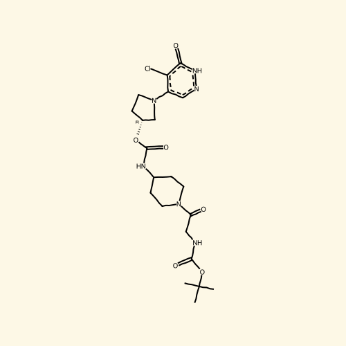 CC(C)(C)OC(=O)NCC(=O)N1CCC(NC(=O)O[C@@H]2CCN(c3cn[nH]c(=O)c3Cl)C2)CC1